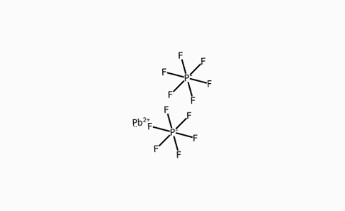 F[P-](F)(F)(F)(F)F.F[P-](F)(F)(F)(F)F.[Pb+2]